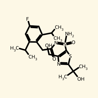 CC(C)c1cc(F)cc(C(C)C)c1CC(=O)N=S(N)(=O)c1sc(C(C)(C)O)nc1CO